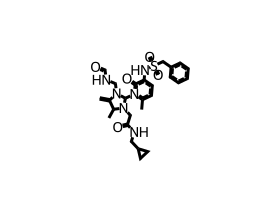 C=C1C(C)N(CC(=O)NCC2CC2)C(n2c(C)ccc(NS(=O)(=O)Cc3ccccc3)c2=O)N1CNC=O